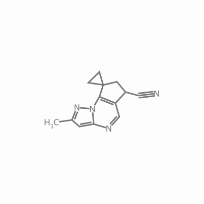 Cc1cc2ncc3c(n2n1)C1(CC1)CC3C#N